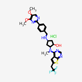 COc1cnc(-c2ccc(CN[C@H]3C[C@@H](O)[C@@H](N(C)c4ncnc5sc(CC(F)(F)F)cc45)C3)cc2)nc1OC.Cl